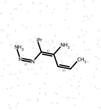 C\C=C/C(N)=C(\N=N/N)C(C)C